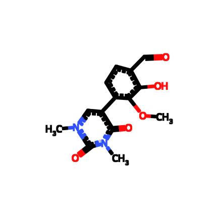 COc1c(-c2cn(C)c(=O)n(C)c2=O)ccc(C=O)c1O